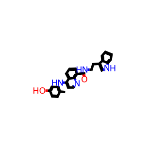 Cc1ccc(O)cc1Nc1ccnc2c(C(=O)NCCc3c[nH]c4ccccc34)cccc12